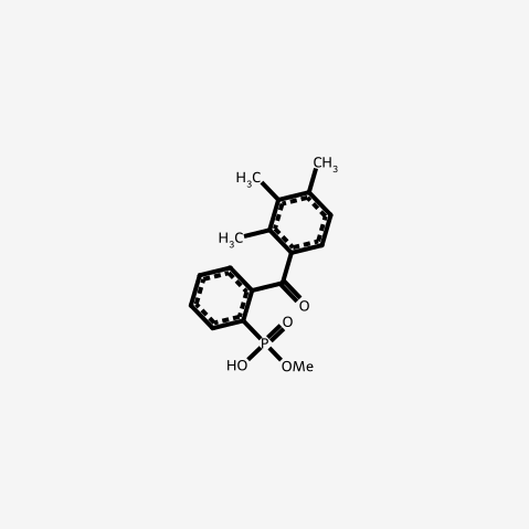 COP(=O)(O)c1ccccc1C(=O)c1ccc(C)c(C)c1C